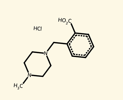 CN1CCN(Cc2ccccc2C(=O)O)CC1.Cl